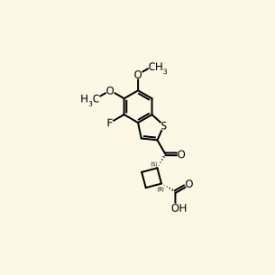 COc1cc2sc(C(=O)[C@H]3CC[C@H]3C(=O)O)cc2c(F)c1OC